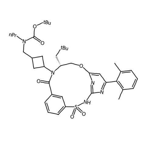 CCCN(CC1CC(N2C(=O)c3cccc(c3)S(=O)(=O)Nc3nc(cc(-c4c(C)cccc4C)n3)OC[C@H]2CC(C)(C)C)C1)C(=O)OC(C)(C)C